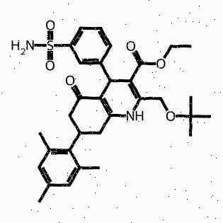 CCOC(=O)C1=C(COC(C)(C)C)NC2=C(C(=O)CC(c3c(C)cc(C)cc3C)C2)C1c1cccc(S(N)(=O)=O)c1